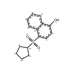 O=S(=O)(c1ccc(O)c2ncccc12)C1CCCC1